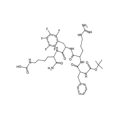 CC(C)(C)OC(=O)NC(Cc1ccccc1)C(=O)NC(CCCNC(=N)N)C(=O)NC(Cc1c(F)c(F)c(F)c(F)c1F)C(=O)NC(CCCCNC(=O)O)C(N)=O